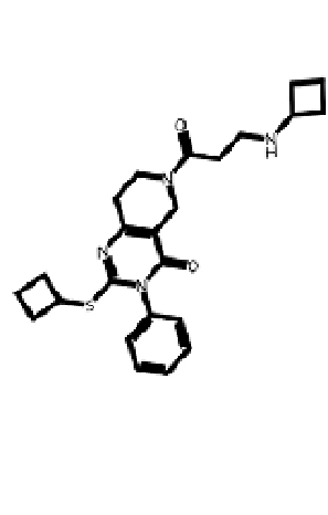 O=C(CCNC1CCC1)N1CCc2nc(SC3CCC3)n(-c3ccccc3)c(=O)c2C1